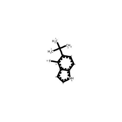 CC(C)(C)c1ccc2[nH]ccc2c1F